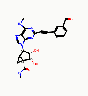 CNC(=O)[C@]12CC1[C@@H](n1cnc3c(NC)nc(C#Cc4cccc(C=O)c4)nc31)[C@H](O)[C@@H]2O